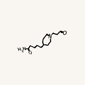 NC(=O)CCCCC1CCN(CCC=O)CC1